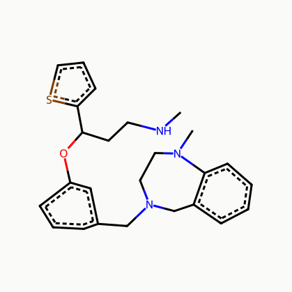 CNCCC(Oc1cccc(CN2CCN(C)c3ccccc3C2)c1)c1cccs1